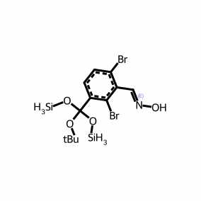 CC(C)(C)OC(O[SiH3])(O[SiH3])c1ccc(Br)c(/C=N/O)c1Br